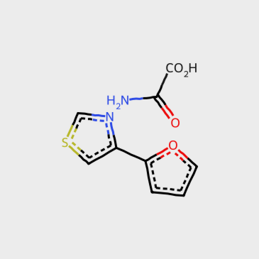 NC(=O)C(=O)O.c1coc(-c2cscn2)c1